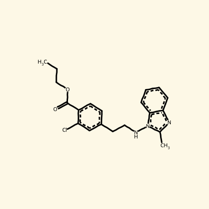 CCCOC(=O)c1ccc(CCNn2c(C)nc3ccccc32)cc1Cl